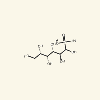 O=P(O)(O)C(O)[C@@H](O)[C@@H](O)[C@H](O)[C@@H](O)CO